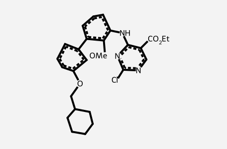 CCOC(=O)c1cnc(Cl)nc1Nc1cccc(-c2cccc(OCC3CCCCC3)c2)c1OC